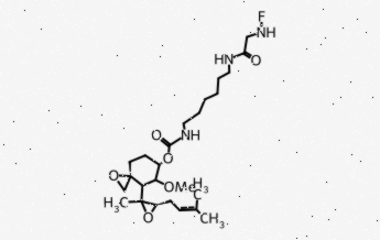 COC1C(C2(C)O[C@@H]2CC=C(C)C)[C@]2(CC[C@@H]1OC(=O)NCCCCCCNC(=O)CNF)CO2